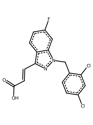 O=C(O)/C=C/c1nn(Cc2ccc(Cl)cc2Cl)c2cc(F)ccc12